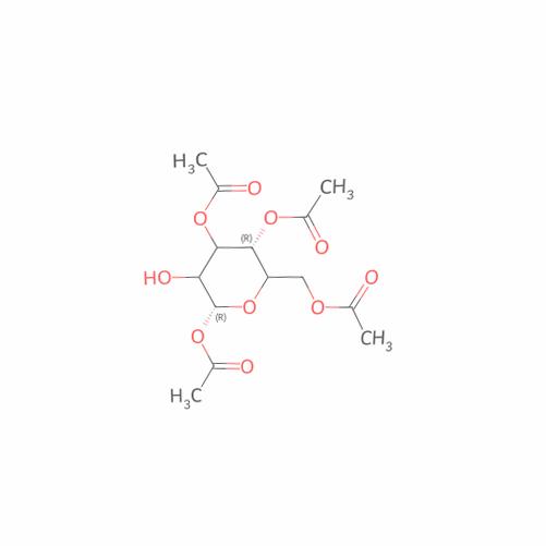 CC(=O)OCC1O[C@H](OC(C)=O)C(O)C(OC(C)=O)[C@@H]1OC(C)=O